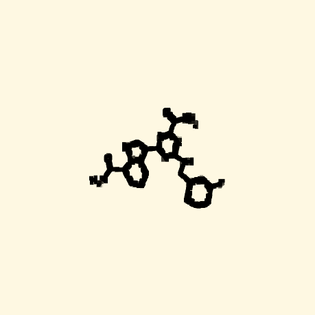 NC(=O)c1nc(NCc2cccc(F)c2)nc(-c2cnn3c(C(N)=O)cccc23)n1